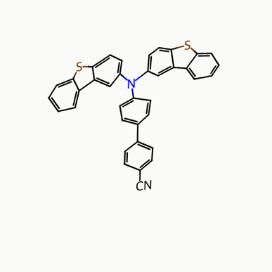 N#Cc1ccc(-c2ccc(N(c3ccc4sc5ccccc5c4c3)c3ccc4sc5ccccc5c4c3)cc2)cc1